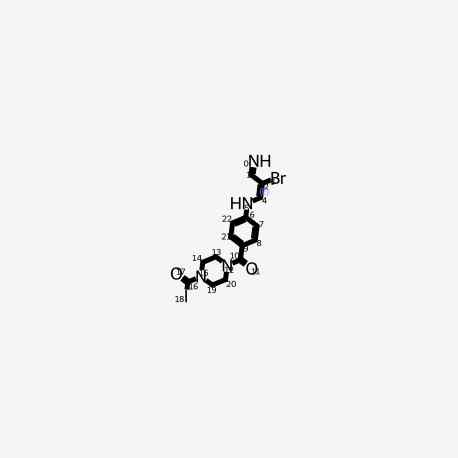 N=C/C(Br)=C\Nc1ccc(C(=O)N2CCN(C(=O)I)CC2)cc1